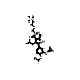 CC(C)Cc1c(-c2ccc(OC(F)F)c(OC3CC3)c2)[nH]c2cnn(COCC[Si](C)(C)C)c(=O)c12